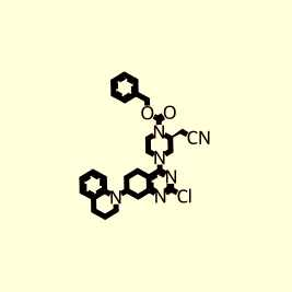 N#CC[C@H]1CN(c2nc(Cl)nc3c2CCC(N2CCCc4ccccc42)C3)CCN1C(=O)OCc1ccccc1